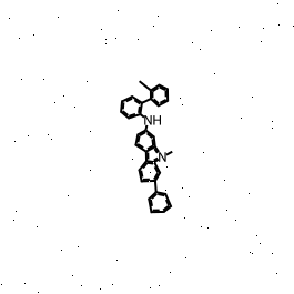 Cc1ccccc1-c1ccccc1Nc1ccc2c3ccc(-c4ccccc4)cc3n(C)c2c1